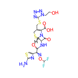 Nc1nc(C(=NOC(F)F)C(=O)NC2C(=O)N3C(C(=O)O)=C(CSc4nnnn4CCO)CS[C@@H]23)cs1